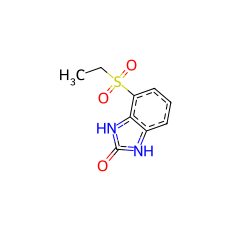 CCS(=O)(=O)c1cccc2[nH]c(=O)[nH]c12